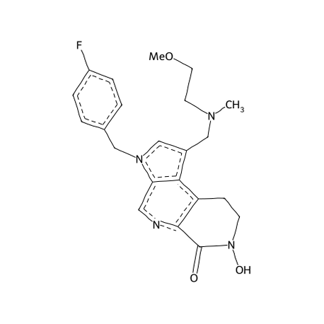 COCCN(C)Cc1cn(Cc2ccc(F)cc2)c2cnc3c(c12)CCN(O)C3=O